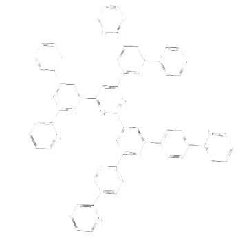 c1ccc(-c2cc(-c3ccccn3)cc(-c3cc(-c4cc(-c5ccccc5)cc(-c5ccccn5)c4)nc(-c4cc(-c5ccc(-c6ccccn6)cc5)cc(-c5ccc(-c6ccccn6)cc5)c4)n3)c2)cc1